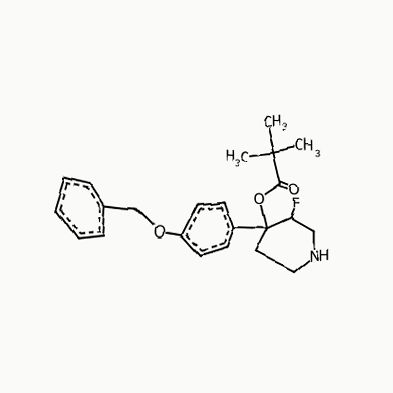 CC(C)(C)C(=O)OC1(c2ccc(OCc3ccccc3)cc2)CCNCC1F